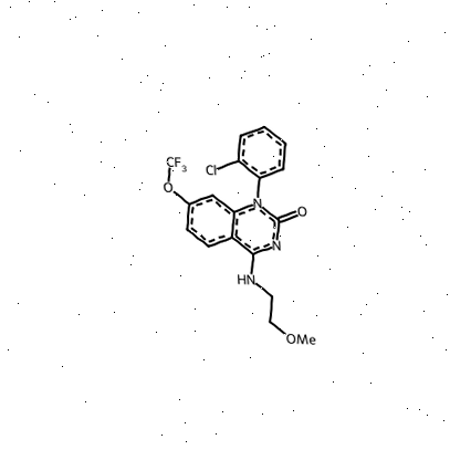 COCCNc1nc(=O)n(-c2ccccc2Cl)c2cc(OC(F)(F)F)ccc12